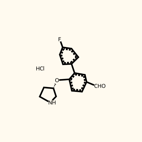 Cl.O=Cc1ccc(O[C@H]2CCNC2)c(-c2ccc(F)cc2)c1